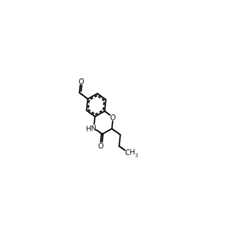 CCCC1Oc2ccc(C=O)cc2NC1=O